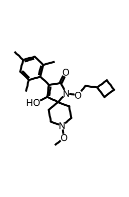 CON1CCC2(CC1)C(O)=C(c1c(C)cc(C)cc1C)C(=O)N2OCC1CCC1